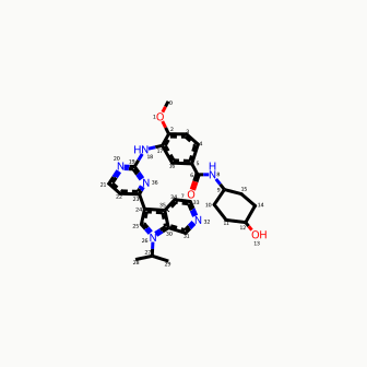 COc1ccc(C(=O)NC2CCC(O)CC2)cc1Nc1nccc(-c2cn(C(C)C)c3cnccc23)n1